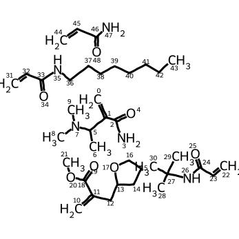 C=C(C(N)=O)C(C)N(C)C.C=C(CC1CCCO1)C(=O)OC.C=CC(=O)NC(C)(C)C.C=CC(=O)NCCCCCCCC.C=CC(N)=O